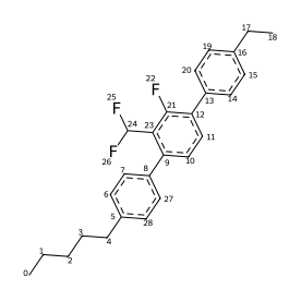 CCCCCc1ccc(-c2ccc(-c3ccc(CC)cc3)c(F)c2C(F)F)cc1